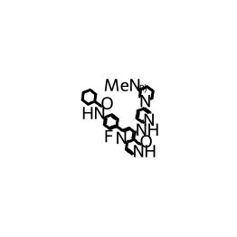 CN[C@@H]1CCCN(c2ccc(Nc3cc(-c4ccc(NC(=O)C5CCCCC5)cc4F)nc4cc[nH]c(=O)c34)nc2)C1